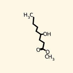 CCCCCC(O)CCC(=O)OC